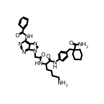 NCCCCC(NC(=O)Cn1cnc2c(NC(=O)c3ccccc3)ncnc21)C(=O)Nc1ccc(CC2(C(N)=O)CCCCC2)cc1